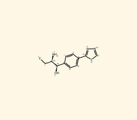 N[C@H](CF)[C@H](O)c1ccc(-c2nncs2)cc1